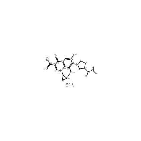 CN[C@@H](C)[C@@H]1CCN(c2c(F)cc3c(=O)c(C(=O)O)cn(C4CC4)c3c2OC)C1.[MgH2]